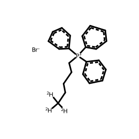 [2H]C([2H])([2H])CCCC[P+](c1ccccc1)(c1ccccc1)c1ccccc1.[Br-]